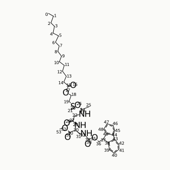 CCCCCCCCCCCCCCCC(=O)OCCSC[C@H](NC(C)=O)C(=O)N[C@@H](CNC(=O)OCC1c2ccccc2-c2ccccc21)C(=O)OC